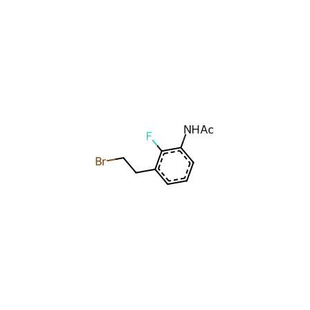 CC(=O)Nc1cccc(CCBr)c1F